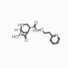 O=C(NOCCc1ccccn1)[C@@H]1CN[C@H]2CC1C(=O)N2O